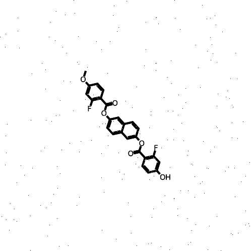 COc1ccc(C(=O)Oc2ccc3cc(OC(=O)c4ccc(O)cc4F)ccc3c2)c(F)c1